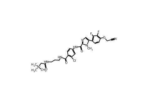 Cn1c(-c2ccc(OCC#N)c(F)c2F)cnc1C(=O)Nc1ccc(C(=O)NCCCNC(=O)C[N+](C)(C)C)c(Cl)c1